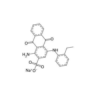 CCc1ccccc1Nc1cc(S(=O)(=O)[O-])c(N)c2c1C(=O)c1ccccc1C2=O.[Na+]